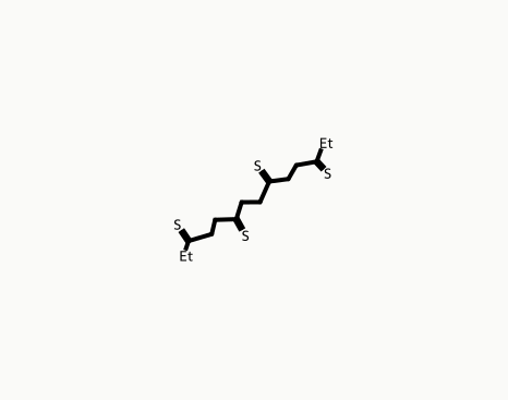 [CH2]CC(=S)CCC(=S)CCC(=S)CCC(=S)CC